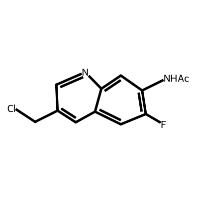 CC(=O)Nc1cc2ncc(CCl)cc2cc1F